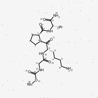 CC(C)[C@H](NC(=O)[C@@H]1CCCN1C(=O)[C@H](CCCCN)NC(=O)CNC(=O)OC(C)(C)C)C(N)=O